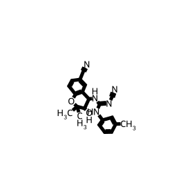 Cc1cccc(N/C(=N/C#N)NC2c3cc(C#N)ccc3OC(C)(C)C2O)c1